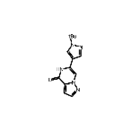 CC(C)(C)n1cc(-c2cn3nccc3c(=O)[nH]2)cn1